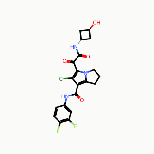 O=C(N[C@H]1C[C@H](O)C1)C(=O)c1c(Cl)c(C(=O)Nc2ccc(F)c(F)c2)c2n1CCC2